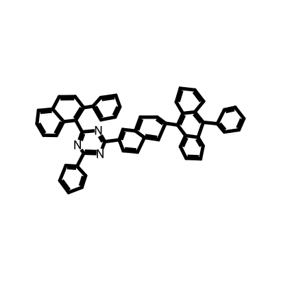 c1ccc(-c2nc(-c3ccc4cc(-c5c6ccccc6c(-c6ccccc6)c6ccccc56)ccc4c3)nc(-c3c(-c4ccccc4)ccc4ccccc34)n2)cc1